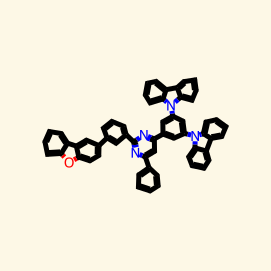 c1ccc(-c2cc(-c3cc(-n4c5ccccc5c5ccccc54)cc(-n4c5ccccc5c5ccccc54)c3)nc(-c3cccc(-c4ccc5oc6ccccc6c5c4)c3)n2)cc1